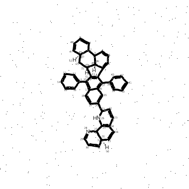 C1=CC2C3C=CC=C4c5c(c(-c6ccccc6)c6ccc(C7C=CC8=C(N7)C7N=CC=C[C@@H]7C=C8)cc6c5-c5ccccc5)[C@@H](C[C@H]2C=C1)[C@H]43